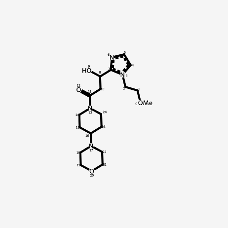 COCCn1ccnc1C(O)CC(=O)N1CCC(N2CCOCC2)CC1